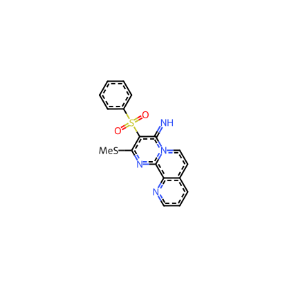 CSc1nc2c3ncccc3ccn2c(=N)c1S(=O)(=O)c1ccccc1